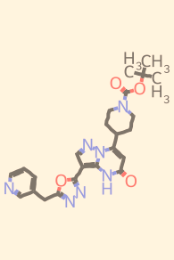 CC(C)(C)OC(=O)N1CCC(c2cc(=O)[nH]c3c(-c4nnc(Cc5cccnc5)o4)cnn23)CC1